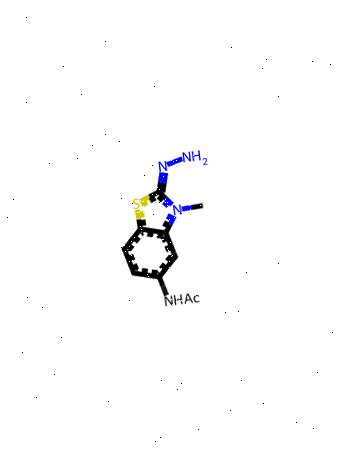 CC(=O)Nc1ccc2sc(=NN)n(C)c2c1